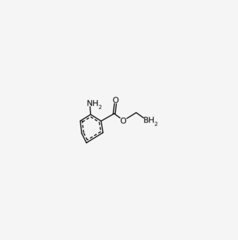 BCOC(=O)c1ccccc1N